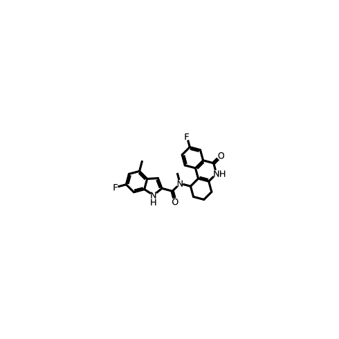 Cc1cc(F)cc2[nH]c(C(=O)N(C)C3CCCc4[nH]c(=O)c5cc(F)ccc5c43)cc12